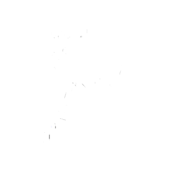 C=CC[C@H](C)SC[C@H]1CC=C(N(C2CCC([C@@H]3CC[C@H](CC(C)[C@H](O)C4CC[C@@H](C)C[C@@H]4C)S3)CC2)[C@H]2C=C[C@@H]([C@@H]3CC=C(/C=C/C4=CCCS4)S3)CC2)CC1